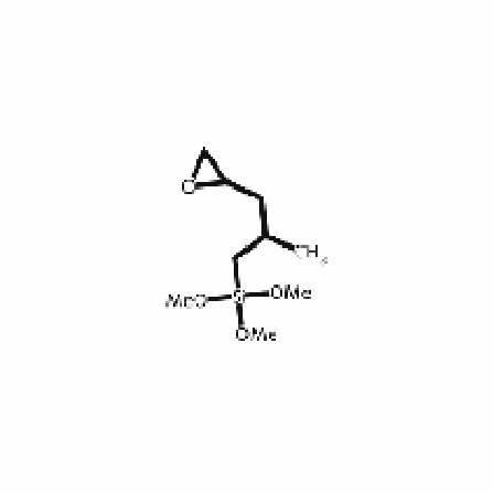 CO[Si](CC(C)CC1CO1)(OC)OC